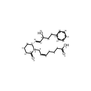 O=C(O)CCC/C=C\CN1C(=O)CCC[C@@H]1/C=C/C(O)CCc1ccccc1